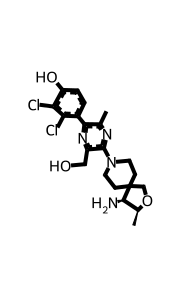 Cc1nc(N2CCC3(CC2)CO[C@@H](C)[C@H]3N)c(CO)nc1-c1ccc(O)c(Cl)c1Cl